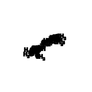 COC[C@H]1CC(c2ncc(-c3ccc4c(c3)COc3cc5c(ccc6nc([C@@H]7CC[C@H](C)N7C(=O)C(NC(=O)OC)C(C)C)[nH]c65)cc3-4)[nH]2)N(C(=O)C(NC(=O)OC)C(C)C)C1